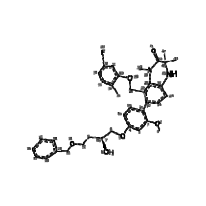 COc1cc(OC[C@@H](O)CCOCc2ccccc2)ccc1-c1ccc2c(c1COc1cc(F)ccc1C)N(C)C(=O)C(C)(C)N2